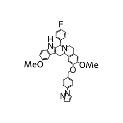 COc1ccc2[nH]c3c(c2c1)CC1c2cc(OCc4ccc(-n5cccn5)cc4)c(OC)cc2CCN1C3c1ccc(F)cc1